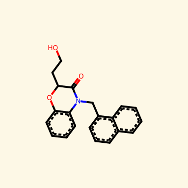 O=C1C(CCO)Oc2ccccc2N1Cc1cccc2ccccc12